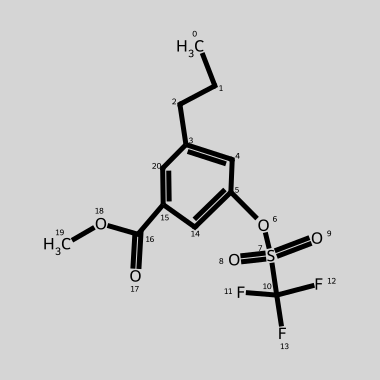 CCCc1cc(OS(=O)(=O)C(F)(F)F)cc(C(=O)OC)c1